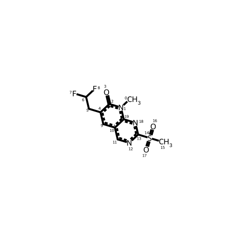 Cn1c(=O)c(CC(F)F)cc2cnc(S(C)(=O)=O)nc21